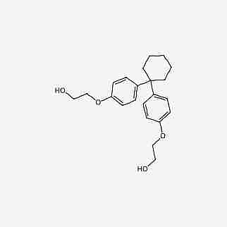 OCCOc1ccc(C2(c3ccc(OCCO)cc3)CCCCC2)cc1